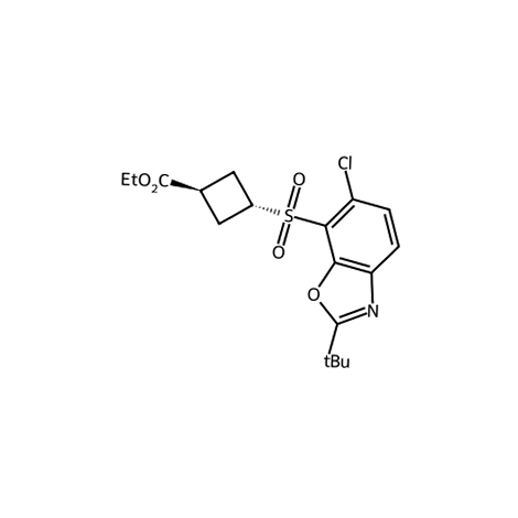 CCOC(=O)[C@H]1C[C@H](S(=O)(=O)c2c(Cl)ccc3nc(C(C)(C)C)oc23)C1